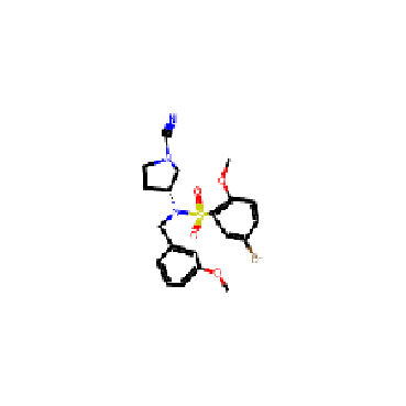 COc1cccc(CN([C@@H]2CCN(C#N)C2)S(=O)(=O)c2cc(Br)ccc2OC)c1